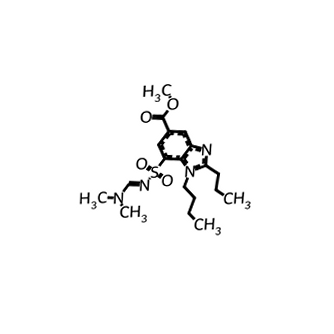 CCCCn1c(CCC)nc2cc(C(=O)OC)cc(S(=O)(=O)/N=C/N(C)C)c21